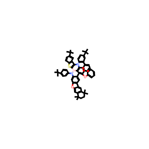 CC(C)(C)c1ccc(N2B3c4sc5ccc(C(C)(C)C)cc5c4N(c4ccc(C(C)(C)C)cc4-c4ccccc4)c4cc5c(oc6ccccc65)c(c43)-c3cc4c(cc32)oc2cc3c(cc24)C(C)(C)CCC3(C)C)cc1